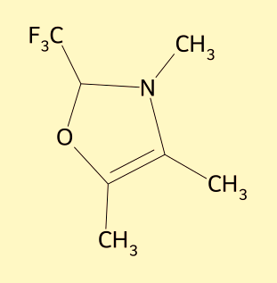 CC1=C(C)N(C)C(C(F)(F)F)O1